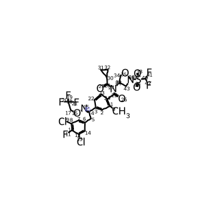 Cc1cc(/C(Cc2cc(Cl)c(F)c(Cl)c2)=N/OCC(F)(F)F)ccc1C(=O)N(C(=O)C1CC1)[C@H]1CON(S(=O)(=O)C(F)F)C1